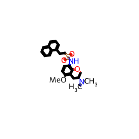 COc1ccc(NS(=O)(=O)CCc2cccc3ccccc23)c2c1C[C@@H](N(C)C)CO2